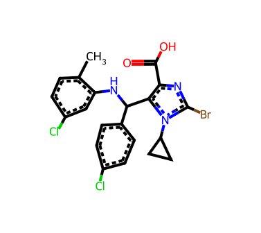 Cc1ccc(Cl)cc1NC(c1ccc(Cl)cc1)c1c(C(=O)O)nc(Br)n1C1CC1